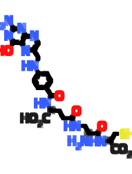 Nc1nc(O)c2nc(CNc3ccc(C(=O)N[C@H](CCC(=O)NC[C@@H](N)C(=O)N[C@@H](CS)C(=O)O)C(=O)O)cc3)cnc2n1